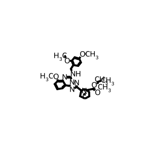 COc1ccc(CNc2nc3c(OC)cccc3c3nc(C4CC5CCC4N(C(=O)OC(C)(C)C)C5)nn23)c(OC)c1